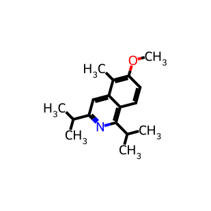 COc1ccc2c(C(C)C)nc(C(C)C)cc2c1C